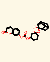 O=C(Oc1ccc2ccc(=O)oc2c1)OC1CCCC2(C1)OOC1(O2)C2CC3CC(C2)CC1C3